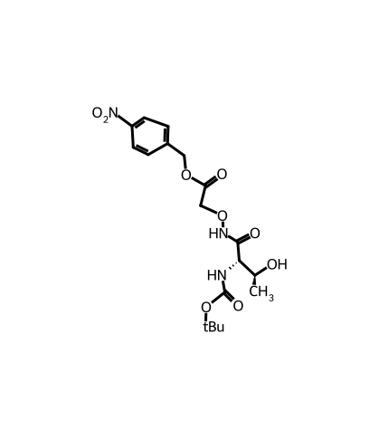 C[C@H](O)[C@H](NC(=O)OC(C)(C)C)C(=O)NOCC(=O)OCc1ccc([N+](=O)[O-])cc1